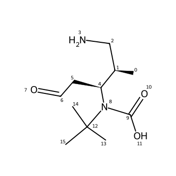 C[C@H](CN)[C@H](CC=O)N(C(=O)O)C(C)(C)C